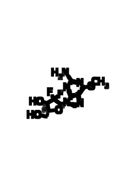 COc1nc(N)nc2c1ncn2[C@@H]1O[C@H](CO)[C@@H](O)C1(F)F